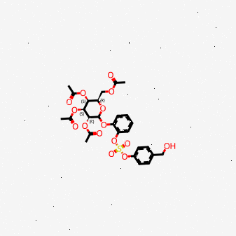 CC(=O)OC[C@H]1OC(Oc2ccccc2OS(=O)(=O)Oc2ccc(CO)cc2)[C@H](OC(C)=O)[C@@H](OC(C)=O)[C@H]1OC(C)=O